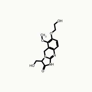 COc1c(OCCO)ccc2c1CN1C(=N2)NC(=O)C1CO